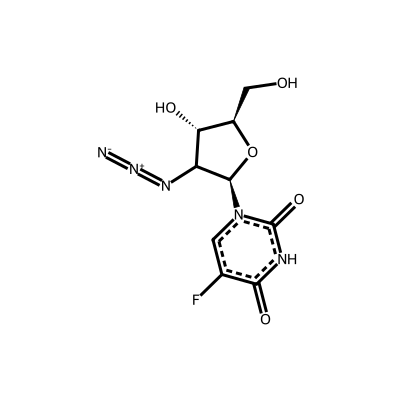 [N-]=[N+]=NC1[C@H](n2cc(F)c(=O)[nH]c2=O)O[C@H](CO)[C@H]1O